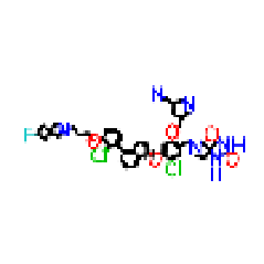 N#Cc1cncc(COc2cc(O[C@H]3CCc4c(-c5cccc(OCCCN6CC7(CC(F)C7)C6)c5Cl)cccc43)c(Cl)cc2CN2CCC3(C2)NC(=O)NC3=O)c1